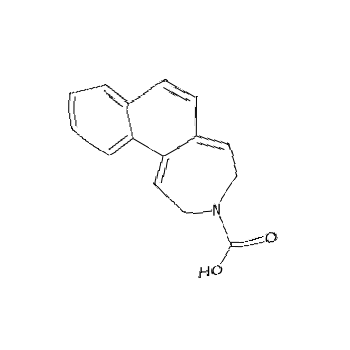 O=C(O)N1CC=c2ccc3ccccc3c2=CC1